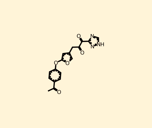 CC(=O)c1ccc(Oc2cc(CC(=O)C(=O)c3nc[nH]n3)co2)cc1